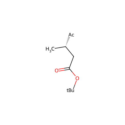 CC(=O)[C@@H](C)CC(=O)OC(C)(C)C